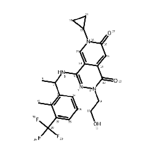 Cc1c(C(C)Nc2nn(CCO)c(=O)c3cc(=O)n(C4CC4)cc23)cccc1C(F)(F)F